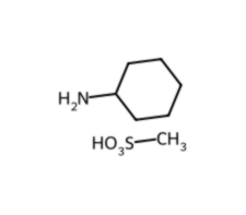 CS(=O)(=O)O.NC1CCCCC1